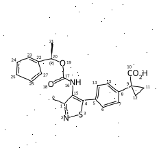 Cc1nsc(-c2ccc(C3(C(=O)O)CC3)cc2)c1NC(=O)O[C@H](C)c1ccccc1